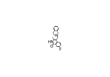 Cc1[nH]c(=O)c2cc(F)ccc2c1CN1CCc2ccccc2C1